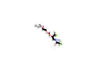 COCCOCOC(CNC(=O)C(F)(F)F)C(F)F